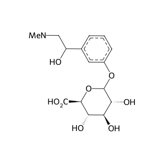 CNCC(O)c1cccc(OC2O[C@H](C(=O)O)[C@@H](O)[C@H](O)[C@H]2O)c1